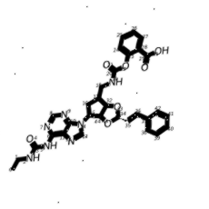 CCNC(=O)Nc1ncnc2c1ncn2C1CC(CNC(=O)Oc2ccccc2C(=O)O)C2O[C@H](/C=C/c3ccccc3)OC21